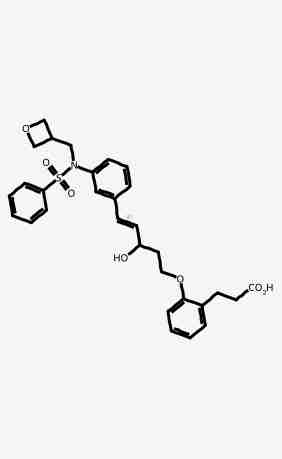 O=C(O)CCc1ccccc1OCCC(O)/C=C/c1cccc(N(CC2COC2)S(=O)(=O)c2ccccc2)c1